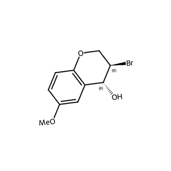 COc1ccc2c(c1)[C@@H](O)[C@H](Br)CO2